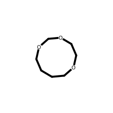 C1CCOCOCCOC1